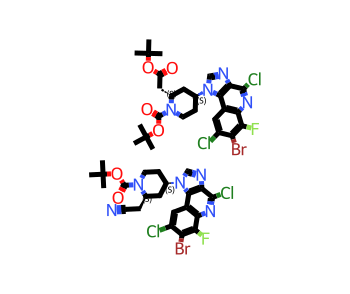 CC(C)(C)OC(=O)C[C@@H]1C[C@@H](n2cnc3c(Cl)nc4c(F)c(Br)c(Cl)cc4c32)CCN1C(=O)OC(C)(C)C.CC(C)(C)OC(=O)N1CC[C@H](n2cnc3c(Cl)nc4c(F)c(Br)c(Cl)cc4c32)C[C@H]1CC#N